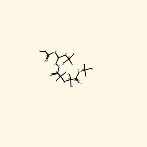 CCC(=O)OC(COC(=O)C(C)(C)CC(C)(C)C(=O)OC(C)(C)C)CC(C)(C)C